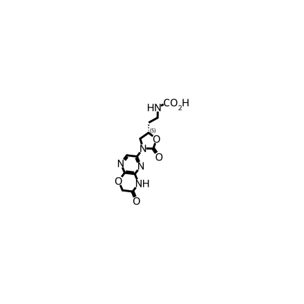 O=C(O)NCC[C@H]1CN(c2cnc3c(n2)NC(=O)CO3)C(=O)O1